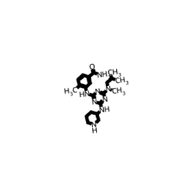 Cc1ccc(C(N)=O)cc1Nc1nc(NC2CCCNC2)nc(N(C)CC(C)C)n1